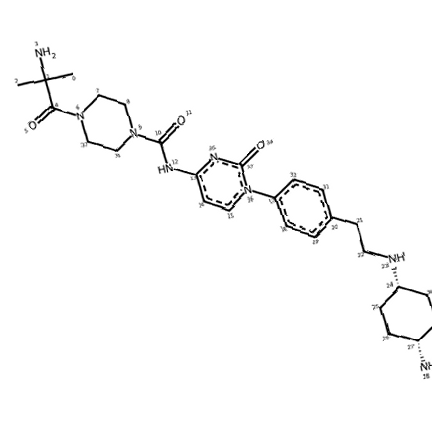 CC(C)(N)C(=O)N1CCN(C(=O)Nc2ccn(-c3ccc(CCN[C@H]4CC[C@@H](N)CC4)cc3)c(=O)n2)CC1